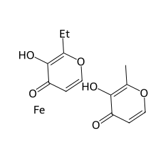 CCc1occc(=O)c1O.Cc1occc(=O)c1O.[Fe]